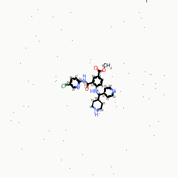 COC(=O)c1ccc(NC(c2ccncc2)C2CCNCC2)c(C(=O)Nc2ccc(Cl)cn2)c1